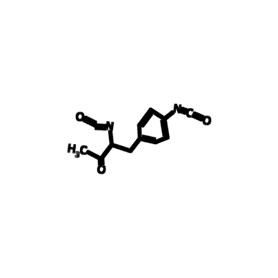 CC(=O)C(Cc1ccc(N=C=O)cc1)N=C=O